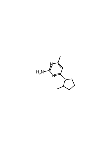 Cc1cc(N2CCCC2C)nc(N)n1